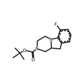 CC(C)(C)OC(=O)N1CCN2c3c(F)cccc3CC2C1